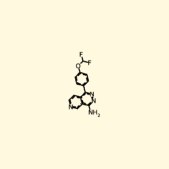 Nc1nnc(-c2ccc(OC(F)F)cc2)c2ccncc12